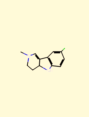 CN1C=C2c3cc(Cl)ccc3NC2CC1